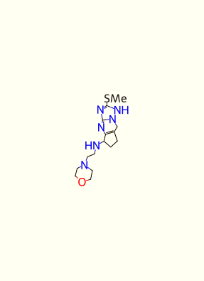 CSC1=NC2=NC3=C(CCC3NCCN3CCOCC3)CN2N1